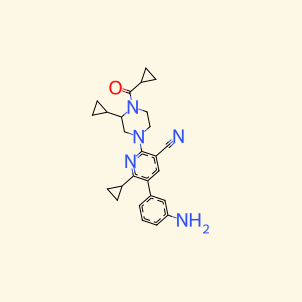 N#Cc1cc(-c2cccc(N)c2)c(C2CC2)nc1N1CCN(C(=O)C2CC2)C(C2CC2)C1